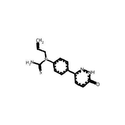 C=CCN(C(N)=S)c1ccc(-c2ccc(=O)[nH]n2)cc1